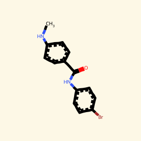 CNc1ccc(C(=O)Nc2ccc(Br)cc2)cc1